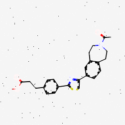 CC(C)OC(=O)CCc1ccc(-c2nc(-c3ccc4c(c3)CCN(C(=O)C(F)(F)F)CC4)cs2)cc1